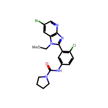 COCn1c(-c2cc(NC(=O)N3CCCC3)ccc2Cl)nc2ncc(Br)cc21